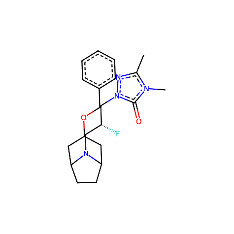 Cc1nn(C[C@H](F)CN2C3CCC2CC(OCc2ccccc2)C3)c(=O)n1C